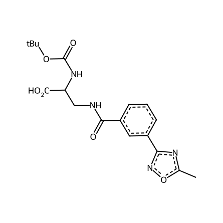 Cc1nc(-c2cccc(C(=O)NCC(NC(=O)OC(C)(C)C)C(=O)O)c2)no1